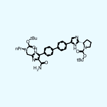 CCCN(Cc1nc(C(N)=O)c(-c2ccc(-c3ccc(-c4cnc([C@@H]5CCCN5C(=O)OC(C)(C)C)[nH]4)cc3)cc2)[nH]1)C(=O)OC(C)(C)C